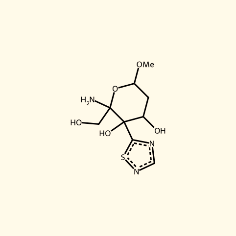 COC1CC(O)C(O)(c2ncns2)C(N)(CO)O1